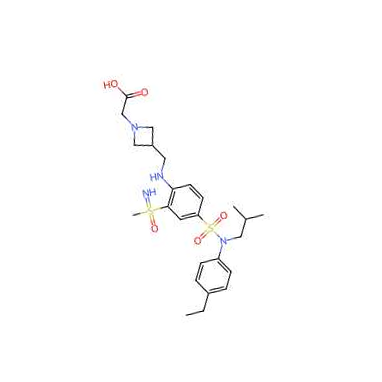 CCc1ccc(N(CC(C)C)S(=O)(=O)c2ccc(NCC3CN(CC(=O)O)C3)c(S(C)(=N)=O)c2)cc1